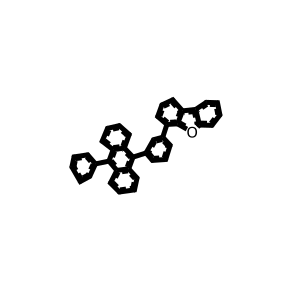 c1ccc(-c2c3ccccc3c(-c3cccc(-c4cccc5c4oc4ccccc45)c3)c3ccccc23)cc1